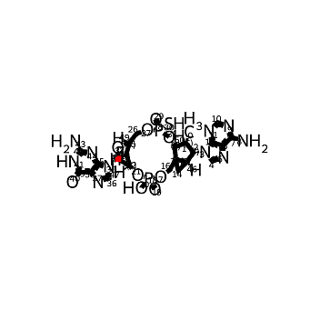 C[C@H]1[C@H](n2cnc3c(N)ncnc32)[C@H]2CC23COP(=O)(O)O[C@@H]2[C@H](F)[C@@H](COP(=O)(S)O[C@@H]13)O[C@H]2n1cnc2c(=O)[nH]c(N)nc21